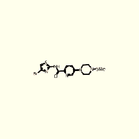 CSN1CCN(c2ccc(C(=O)Nc3nc(Br)cs3)nc2)CC1